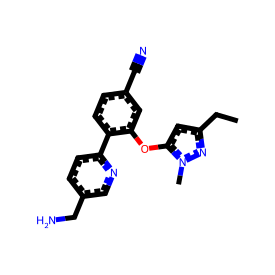 CCc1cc(Oc2cc(C#N)ccc2-c2ccc(CN)cn2)n(C)n1